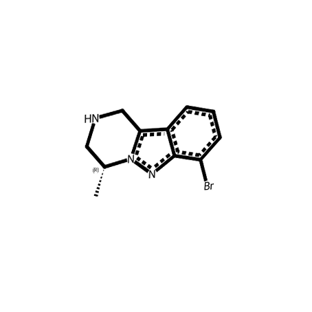 C[C@@H]1CNCc2c3cccc(Br)c3nn21